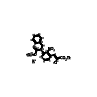 CCOC(=O)C([O-])=Cc1ccnc(N(Cc2ccccc2)C(=O)OC(C)(C)C)c1[N+](=O)[O-].[K+]